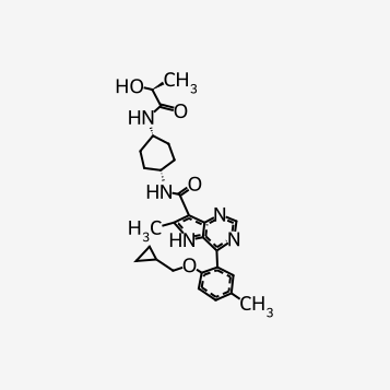 Cc1ccc(OCC2CC2)c(-c2ncnc3c(C(=O)N[C@H]4CC[C@@H](NC(=O)[C@H](C)O)CC4)c(C)[nH]c23)c1